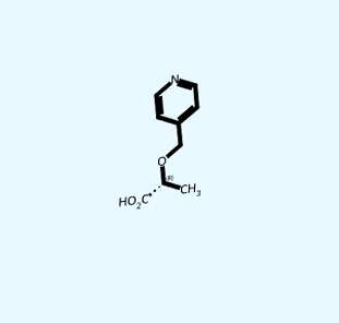 C[C@@H](OCc1ccncc1)C(=O)O